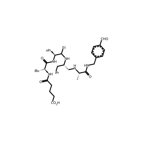 CCC[C@H](NC(=O)[C@@H](NC(=O)CCCC(=O)O)[C@@H](C)CC)C(CC)N[C@H](CN[C@@H](C)C(=O)NCc1ccc(C=O)cc1)CC(C)C